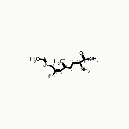 C=C(/C=C(\C/N=C/C)C(C)C)C/C=C(\N)C(N)=O